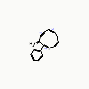 C=C1/C=C\C=C/C/C=C\N=C/1c1ccccc1